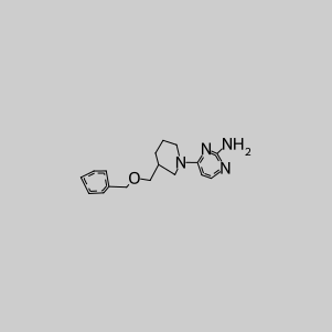 Nc1nccc(N2CCCC(COCc3ccccc3)C2)n1